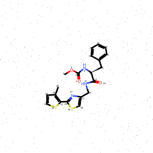 COC(=O)N[C@@H](Cc1ccccc1)C(=O)NCc1csc(-c2sccc2C)n1